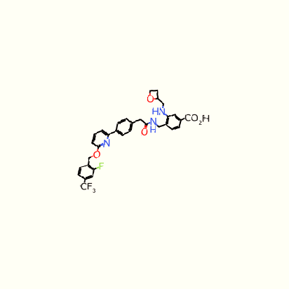 O=C(Cc1ccc(-c2cccc(OCc3ccc(C(F)(F)F)cc3F)n2)cc1)NCc1ccc(C(=O)O)cc1NCC1CCO1